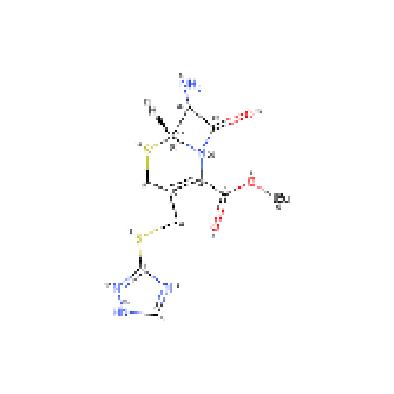 CC(C)(C)OC(=O)C1=C(CSc2nc[nH]n2)CS[C@@H]2C(N)C(=O)N12